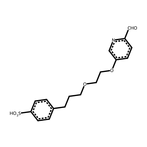 O=Cc1ccc(OCCOCCCc2ccc(S(=O)(=O)O)cc2)cn1